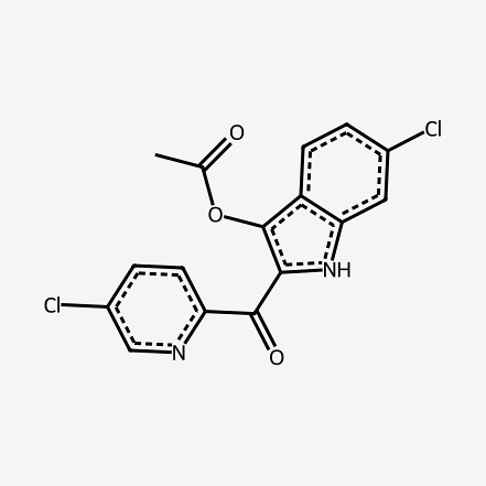 CC(=O)Oc1c(C(=O)c2ccc(Cl)cn2)[nH]c2cc(Cl)ccc12